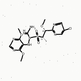 COc1ncnc(OC)c1NN(C(=N)N)S(=O)(=O)[C@@H](C)[C@H](OC)c1ncc(Cl)cn1